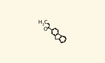 C=CC(=O)c1ccc2c(c1)Cc1ccccc1-2